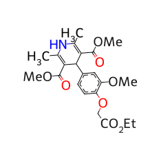 CCOC(=O)COc1ccc(C2C(C(=O)OC)=C(C)NC(C)=C2C(=O)OC)cc1OC